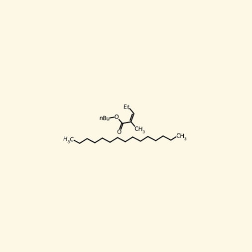 CCC=C(C)C(=O)OCCCC.CCCCCCCCCCCCCCC